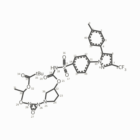 Cc1ccc(-c2cc(C(F)(F)F)nn2-c2ccc(S(=O)(=O)NC(=O)OC3CCN(n4on4OC(C)OC(=O)C(C)(C)C)C3)cc2)cc1